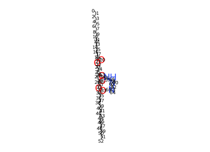 CCCCCCCCCCCCCCCCCCCC(=O)OCCCCC(CCCCOC(=O)CCCCCCCCCCCCCCCCCCC)OC(=O)NCCN(C)CCN(C)C